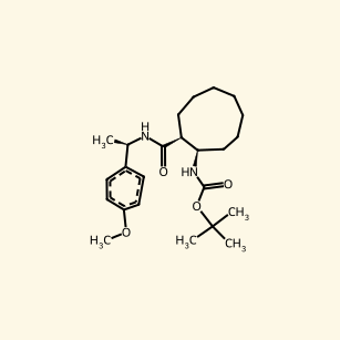 COc1ccc([C@@H](C)NC(=O)[C@H]2CCCCCCC[C@H]2NC(=O)OC(C)(C)C)cc1